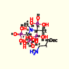 CCCCCCCCCCCCN.CCN(C(P(=O)(O)O)P(=O)(O)O)C(CC)(P(=O)(O)O)P(=O)(O)O